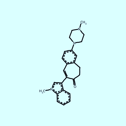 CN1CCN(c2ccc3c(c2)CCC(=O)C(c2cn(C)c4ccccc24)=C3)CC1